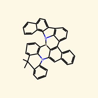 CC1(C)c2ccccc2N2c3cc4ccccc4c4c3B(c3cccc1c32)n1c2c-4cccc2c2ccc3ccccc3c21